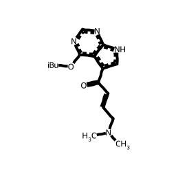 CCC(C)Oc1ncnc2[nH]cc(C(=O)/C=C/CN(C)C)c12